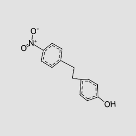 O=[N+]([O-])c1ccc(CCc2ccc(O)cc2)cc1